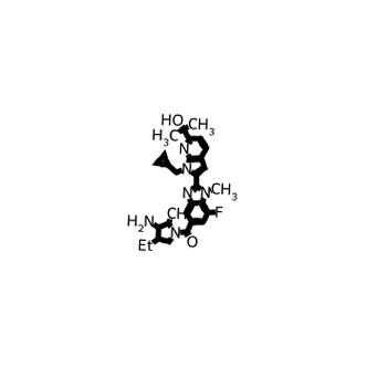 CCC1CN(C(=O)c2cc(F)c3c(c2)nc(-c2cc4ccc(C(C)(C)O)nc4n2CC2CC2)n3C)C(C)C1N